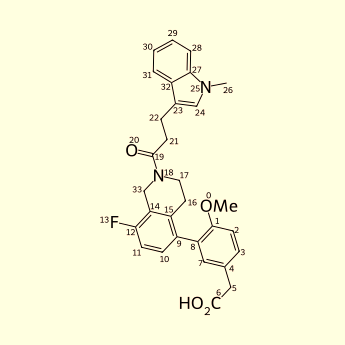 COc1ccc(CC(=O)O)cc1-c1ccc(F)c2c1CCN(C(=O)CCc1cn(C)c3ccccc13)C2